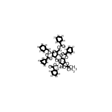 CC1(C)OC2C(OC(=O)c3ccccc3)[C@H](O[C@@H]3C(COC(=O)c4ccccc4)O[C@@H](OCc4ccccc4)C(OC(=O)c4ccccc4)[C@H]3O)O[C@@H](COC(=O)c3ccccc3)[C@@H]2O1